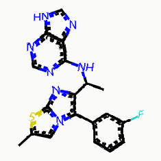 Cc1cn2c(-c3cccc(F)c3)c(C(C)Nc3ncnc4[nH]cnc34)nc2s1